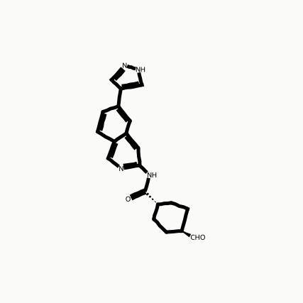 O=C[C@H]1CC[C@H](C(=O)Nc2cc3cc(-c4cn[nH]c4)ccc3cn2)CC1